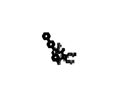 C[C@H](NC(=O)[C@@H]1[C@H](C(=O)O)[C@@H](C(=O)O)[C@@H]1C(=O)O)[C@H](Cc1ccc(Cl)cc1)c1ccc(-c2ccccc2)cc1